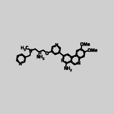 COc1cc2ncc3c(N)nc(-c4cncc(OC[C@H](N)CN(C)Cc5cccnc5)c4)cc3c2cc1OC